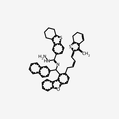 C=c1c2c(s/c1=C/C=C\Cc1ccc3oc4ccccc4c3c1C(/N=C(\NN)c1ccc3sc4c(c3c1)CCCC4)c1ccc3ccccc3c1)CCC=C2